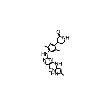 Cc1cc(Nc2nc(Nc3cc(C)c(C4CCNC(=O)C4)cc3C)ncc2Cl)n[nH]1